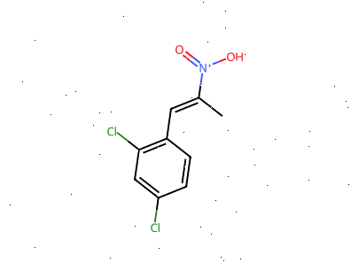 C/C(=C\c1ccc(Cl)cc1Cl)[N+](=O)O